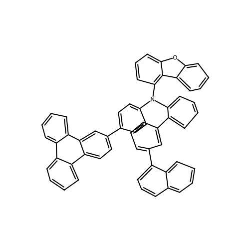 c1cc(-c2ccccc2N(c2ccc(-c3ccc4c5ccccc5c5ccccc5c4c3)cc2)c2cccc3oc4ccccc4c23)cc(-c2cccc3ccccc23)c1